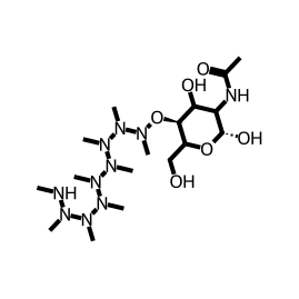 CNN(C)N(C)N(C)N(C)N(C)N(C)N(C)N(C)O[C@@H]1C(CO)O[C@@H](O)C(NC(C)=O)C1O